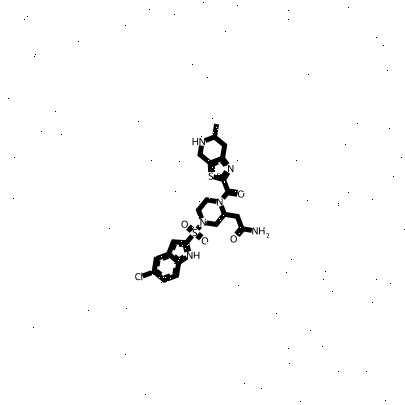 CC1Cc2nc(C(=O)N3CCN(S(=O)(=O)c4cc5cc(Cl)ccc5[nH]4)CC3CC(N)=O)sc2CN1